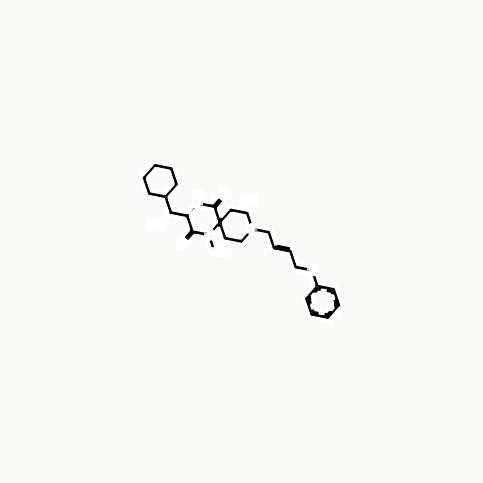 CCCCN1C(=O)[C@@H]([C@H](O)C2CCCCC2)NC(=O)C12CCN(CC=CCOc1ccccc1)CC2.Cl